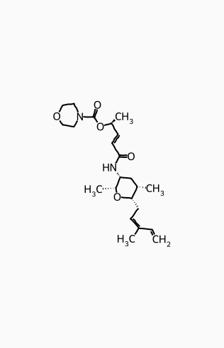 C=CC(C)=CC[C@@H]1O[C@H](C)[C@H](NC(=O)C=C[C@H](C)OC(=O)N2CCOCC2)C[C@@H]1C